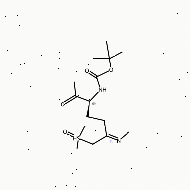 C/N=C(\CC[C@H](NC(=O)OC(C)(C)C)C(C)=O)C[SH](C)(C)=O